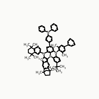 Cc1cc(-c2ccccc2)cc(C)c1N1c2ccc(C(C)(C)C)cc2B2c3c(cc(-c4ccc(N(c5ccccc5)c5ccccc5)cc4)cc31)N(c1ccc3c(c1)C(C)(C)CCC3(C)C)c1oc3cc4c(cc3c12)C1(C)CCC4(C)C1